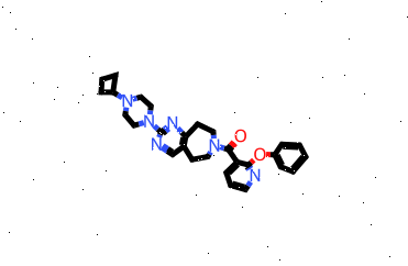 O=C(c1cccnc1Oc1ccccc1)N1CCc2cnc(N3CCN(C4CCC4)CC3)nc2CC1